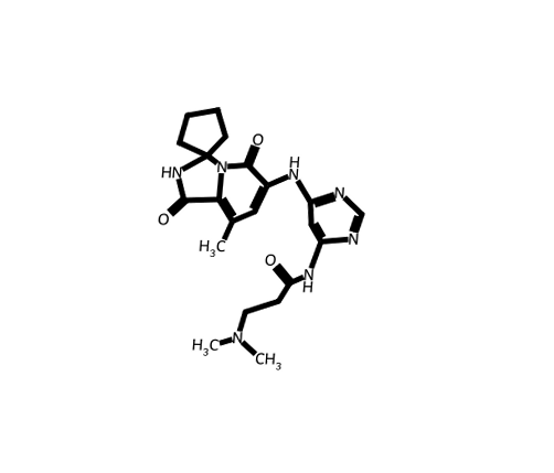 Cc1cc(Nc2cc(NC(=O)CCN(C)C)ncn2)c(=O)n2c1C(=O)NC21CCCC1